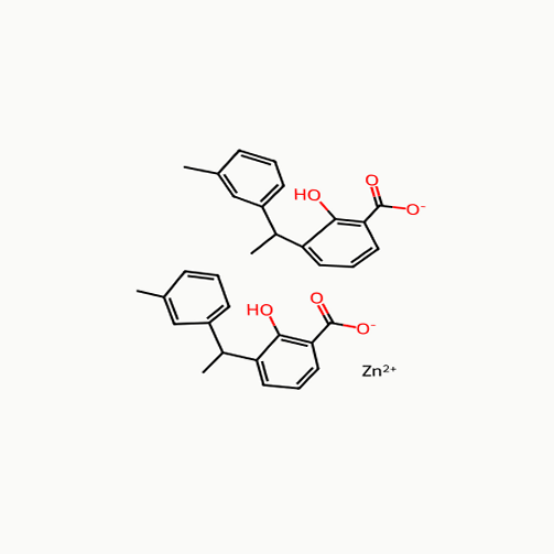 Cc1cccc(C(C)c2cccc(C(=O)[O-])c2O)c1.Cc1cccc(C(C)c2cccc(C(=O)[O-])c2O)c1.[Zn+2]